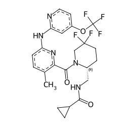 Cc1ccc(Nc2cc(OC(F)(F)F)ccn2)nc1C(=O)N1CC(F)(F)CC[C@@H]1CNC(=O)C1CC1